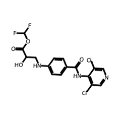 O=C(Nc1c(Cl)cncc1Cl)c1ccc(NCC(O)C(=O)OC(F)F)cc1